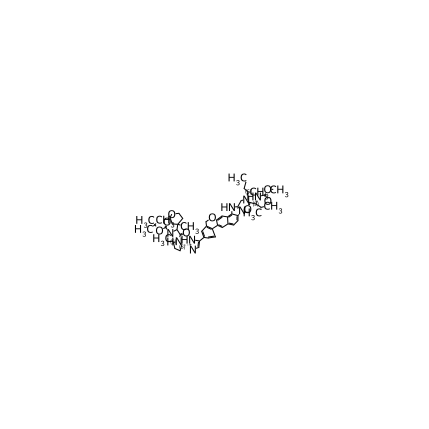 CCC[C@H](C)N(Cc1nc2ccc3cc4c(cc3c2[nH]1)OCc1cc(-c2cnc([C@@H]3CC[C@H](C)N3C(=O)C(NC(=O)OC(C)(C)C)C3(C)CCOCC3)[nH]2)ccc1-4)C(=O)[C@@H](NC(=O)OC)C(C)C